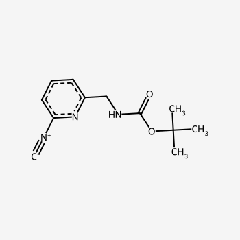 [C-]#[N+]c1cccc(CNC(=O)OC(C)(C)C)n1